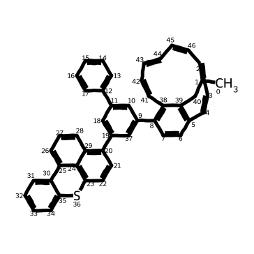 CC1=C2C=Cc3ccc(-c4cc(-c5ccccc5)cc(-c5ccc6c7c(cccc57)-c5ccccc5S6)c4)c(c3C1)\C=C/C=C/C=C\2